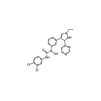 CCN1C=C(c2cccc(N(O)C(=O)Nc3ccc(Cl)c(Cl)c3)c2)C(c2ccncn2)N1